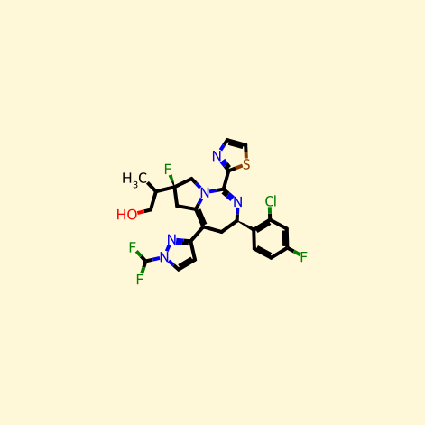 CC(CO)[C@@]1(F)CC2=C(c3ccn(C(F)F)n3)C[C@H](c3ccc(F)cc3Cl)N=C(c3nccs3)N2C1